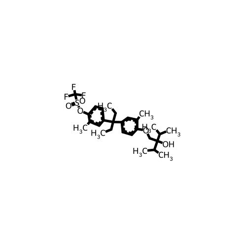 CCC(CC)(c1ccc(OCC(O)(C(C)C)C(C)C)c(C)c1)c1ccc(OS(=O)(=O)C(F)(F)F)c(C)c1